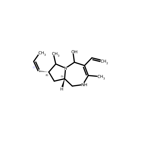 C=CC1=C(C)NC[C@@H]2C[C@H](/C=C\C)C(C)N2C1O